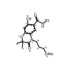 CCNC(=O)c1cc2c(cc1C#N)OC(C)(C)C(=O)N2CCCOC